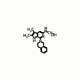 CNc1cc2c(C)c(C)[nH]c2c(N2CCc3ccccc3C2)n1.Cl